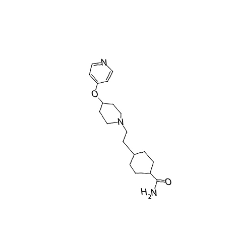 NC(=O)C1CCC(CCN2CCC(Oc3ccncc3)CC2)CC1